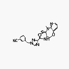 CN1C(=S)[C@@H](NC(=O)c2ncn(Cc3cccc(C#N)c3)n2)COc2cccnc21